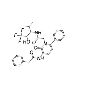 CC(C)C(NC(=O)Cn1c(-c2ccccc2)ccc(NC(=O)Cc2ccccc2)c1=O)C(O)C(F)(F)F